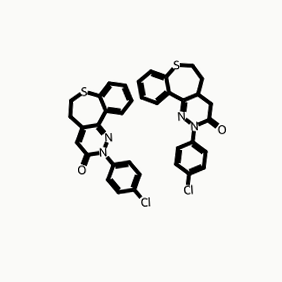 O=C1CC2CCSc3ccccc3C2=NN1c1ccc(Cl)cc1.O=c1cc2c(nn1-c1ccc(Cl)cc1)-c1ccccc1SCC2